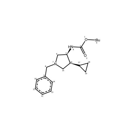 CC(C)(C)OC(=O)N[C@@H]1CN(Cc2ccccc2)C[C@@H]1C1CC1